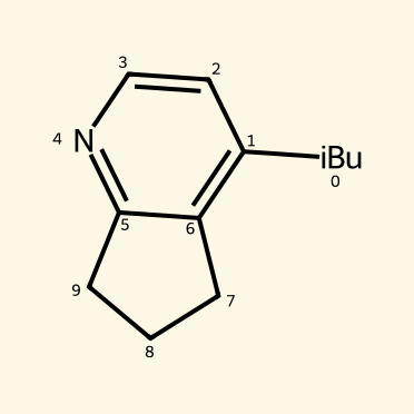 CCC(C)c1ccnc2c1CCC2